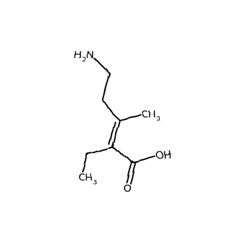 CCC(C(=O)O)=C(C)CCN